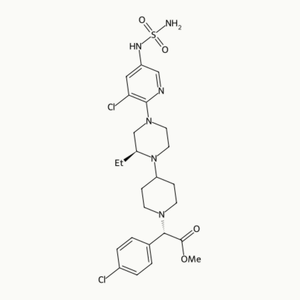 CC[C@H]1CN(c2ncc(NS(N)(=O)=O)cc2Cl)CCN1C1CCN([C@H](C(=O)OC)c2ccc(Cl)cc2)CC1